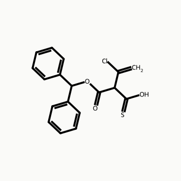 C=C(Cl)C(C(=O)OC(c1ccccc1)c1ccccc1)C(O)=S